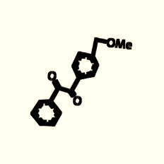 COCc1ccc(C(=O)C(=O)c2ccccc2)cc1